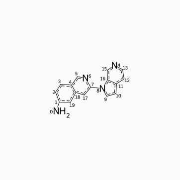 Nc1ccc2cnc(-n3ccc4ccncc43)cc2c1